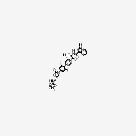 COC(=O)NC[C@H]1CN(c2cc(F)c(N3CCN(C(=O)[C@H](C)NC(=O)C4=C5N=CC=CN5NC4)CC3)c(F)c2)C(=O)O1